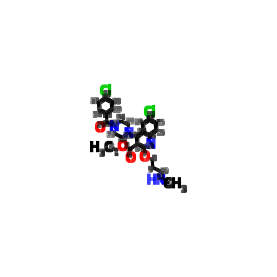 CCOC(=O)c1c(OCCCNC)nc2ccc(Cl)cc2c1N1CCN(C(=O)c2ccc(Cl)cc2)CC1